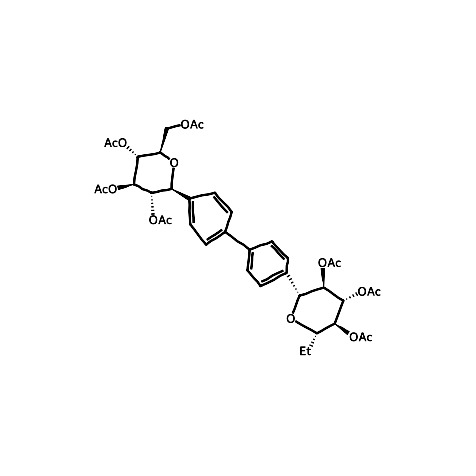 CC[C@@H]1O[C@H](c2ccc(-c3ccc([C@@H]4O[C@H](COC(C)=O)[C@@H](OC(C)=O)[C@H](OC(C)=O)[C@H]4OC(C)=O)cc3)cc2)[C@@H](OC(C)=O)[C@H](OC(C)=O)[C@H]1OC(C)=O